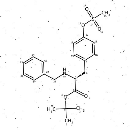 CC(C)(C)OC(=O)[C@H](Cc1ccc(OS(C)(=O)=O)cc1)NCc1ccccc1